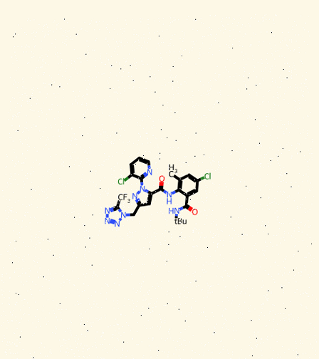 Cc1cc(Cl)cc(C(=O)NC(C)(C)C)c1NC(=O)c1cc(Cn2nnnc2C(F)(F)F)nn1-c1ncccc1Cl